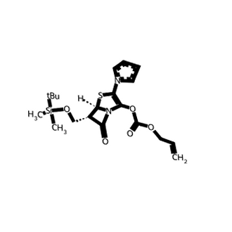 C=CCOC(=O)OC1=C(n2cccc2)S[C@@H]2[C@@H](CO[Si](C)(C)C(C)(C)C)C(=O)N12